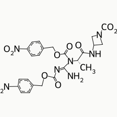 C[C@@H](C(=O)NC1CN(C(=O)O)C1)N(C(=O)OCc1ccc([N+](=O)[O-])cc1)C(N)=NC(=O)OCc1ccc([N+](=O)[O-])cc1